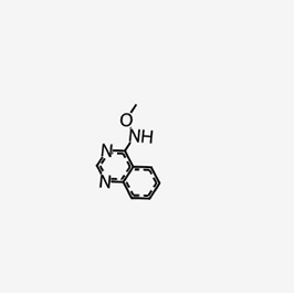 CONc1ncnc2ccccc12